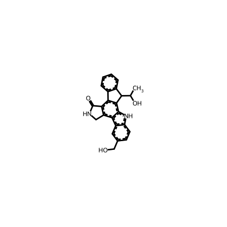 CC(O)C1c2ccccc2-c2c3c(c4c([nH]c5ccc(CO)cc54)c21)CNC3=O